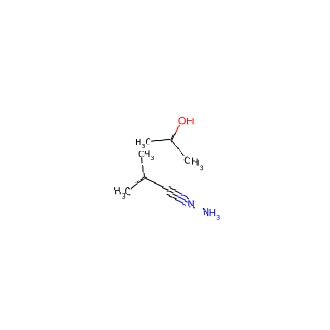 CC(C)C#N.CC(C)O.N